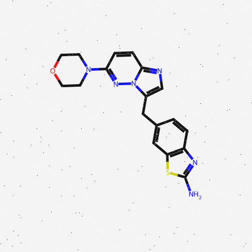 Nc1nc2ccc(Cc3cnc4ccc(N5CCOCC5)nn34)cc2s1